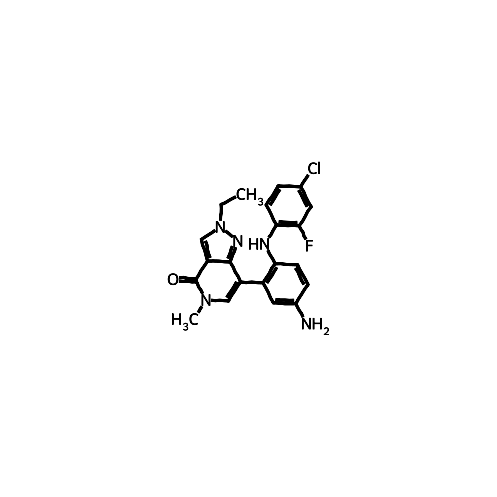 CCn1cc2c(=O)n(C)cc(-c3cc(N)ccc3Nc3ccc(Cl)cc3F)c2n1